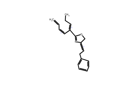 C=C/C=C\C(=C/CC)C1=N/C(=C\Cc2ccccc2)CO1